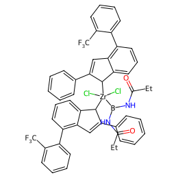 CCC(=O)N[B](NC(=O)CC)[Zr]([Cl])([Cl])([CH]1C(c2ccccc2)=Cc2c(-c3ccccc3C(F)(F)F)cccc21)[CH]1C(c2ccccc2)=Cc2c(-c3ccccc3C(F)(F)F)cccc21